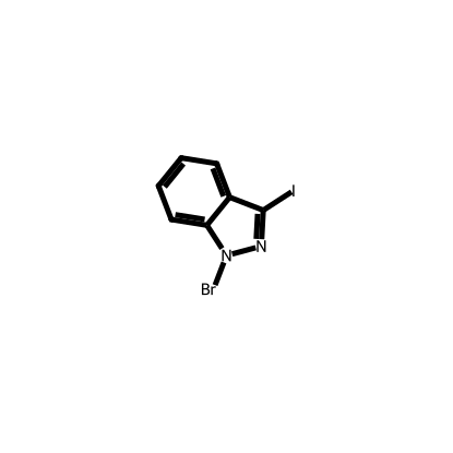 Brn1nc(I)c2ccccc21